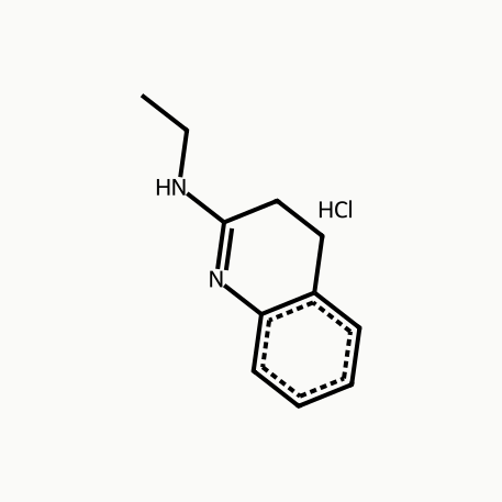 CCNC1=Nc2ccccc2CC1.Cl